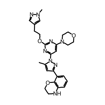 Cc1cc(-c2cccc3c2OCCN3)nn1-c1cc(N2CCOCC2)nc(OCCc2cnn(C)c2)n1